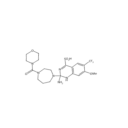 COc1cc2c(cc1C(F)(F)F)C(S(=O)(=O)O)=NC(N)(N1CCCN(C(=O)N3CCOCC3)CC1)N2